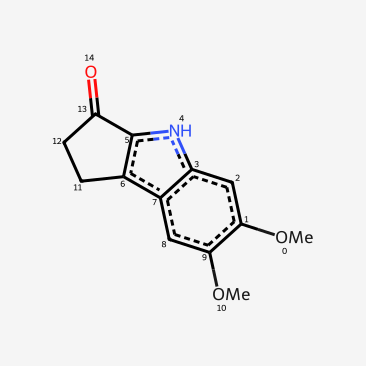 COc1cc2[nH]c3c(c2cc1OC)CCC3=O